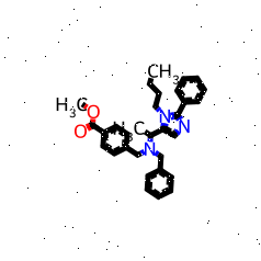 CCCCn1c(C(C)N(Cc2ccccc2)Cc2ccc(C(=O)OC)cc2)cnc1-c1ccccc1